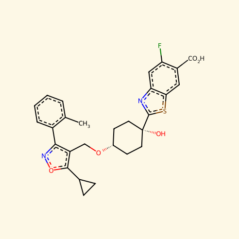 Cc1ccccc1-c1noc(C2CC2)c1CO[C@H]1CC[C@](O)(c2nc3cc(F)c(C(=O)O)cc3s2)CC1